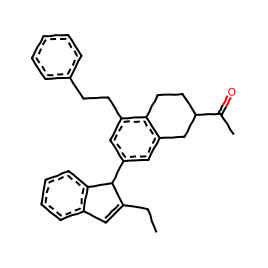 CCC1=Cc2ccccc2C1c1cc(CCc2ccccc2)c2c(c1)CC(C(C)=O)CC2